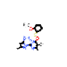 CCc1c(C)nc(-n2nc(C)cc2N)nc1OSc1ccccc1OC(F)(F)F